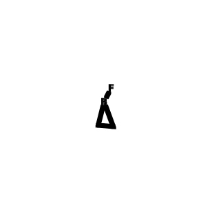 FB1CC1